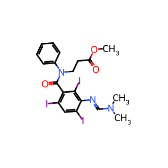 COC(=O)CCN(C(=O)c1c(I)cc(I)c(N=CN(C)C)c1I)c1ccccc1